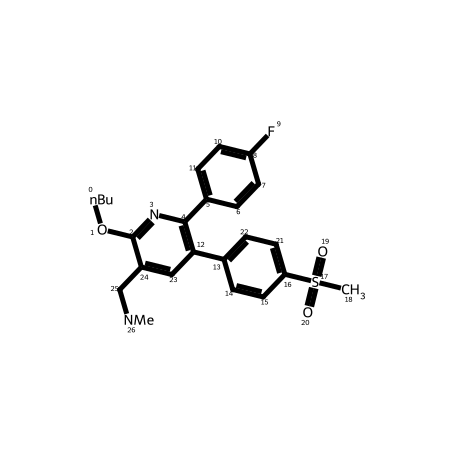 CCCCOc1nc(-c2ccc(F)cc2)c(-c2ccc(S(C)(=O)=O)cc2)cc1CNC